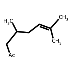 CC(=O)CC(C)CC=C(C)C